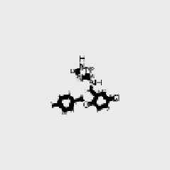 Cc1ccc(COc2ccc(Cl)cc2CNc2nc[nH]n2)cc1